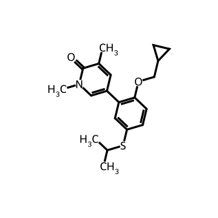 Cc1cc(-c2cc(SC(C)C)ccc2OCC2CC2)cn(C)c1=O